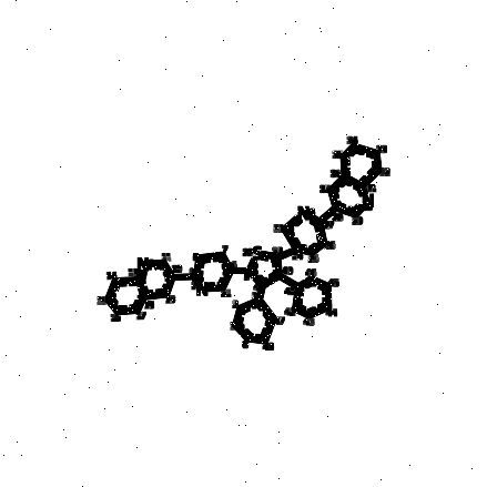 c1ccc(-c2c(-c3ccc(-c4cnc5ccccc5c4)nc3)sc(-c3ccc(-c4cnc5ccccc5c4)nc3)c2-c2ccccc2)cc1